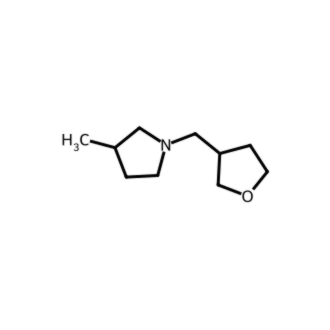 CC1CCN(CC2CCOC2)C1